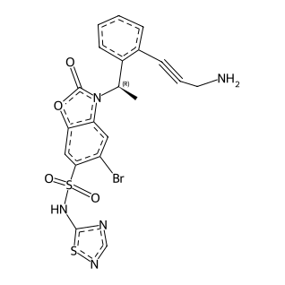 C[C@H](c1ccccc1C#CCN)n1c(=O)oc2cc(S(=O)(=O)Nc3ncns3)c(Br)cc21